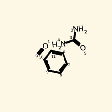 C=O.NC(N)=O.c1ccccc1